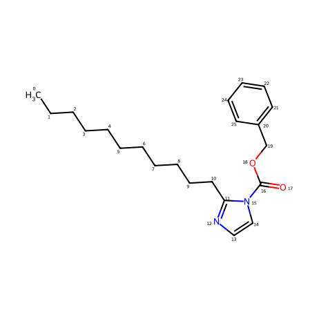 CCCCCCCCCCCc1nccn1C(=O)OCc1ccccc1